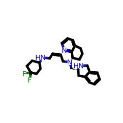 FC1(F)CCC(NC/C=C\CN(C[C@H]2Cc3ccccc3CN2)[C@H]2CCCc3cccnc32)CC1